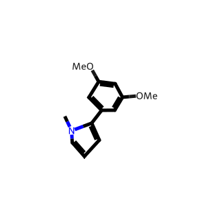 COc1cc(OC)cc(-c2c[c]cn2C)c1